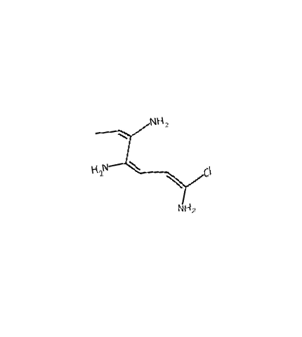 C\C=C(N)/C(N)=C\C=C(/N)Cl